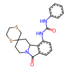 O=C(Nc1ccccc1)Nc1cccc2c1C1CC3(CCN1C2=O)CSCCS3